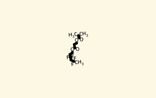 C=C(C)C(=O)OCCC(=O)OCCC(F)(F)CC(C)(F)F